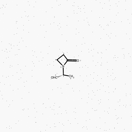 C[C@H](C=O)N1CCC1=O